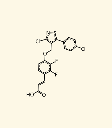 O=C(O)/C=C/c1ccc(OCc2c(Cl)nsc2-c2ccc(Cl)cc2)c(F)c1F